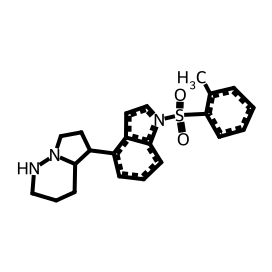 Cc1ccccc1S(=O)(=O)n1ccc2c(C3CCN4NCCCC34)cccc21